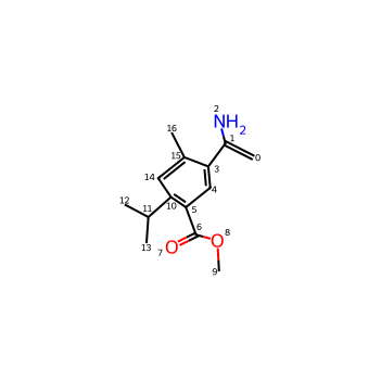 C=C(N)c1cc(C(=O)OC)c(C(C)C)cc1C